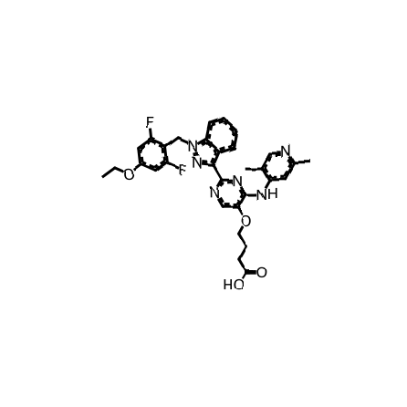 CCOc1cc(F)c(Cn2nc(-c3ncc(OCCCC(=O)O)c(Nc4cc(C)ncc4C)n3)c3ccccc32)c(F)c1